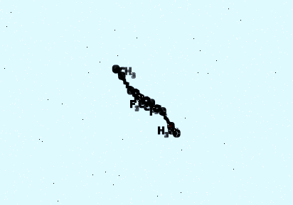 CC1(COCCCCCCOc2ccc(COc3ccc(OCc4ccc(OCCCCCCOCC5(C)COC5)cc4F)c(C(F)(F)F)c3C(F)(F)F)c(F)c2)COC1